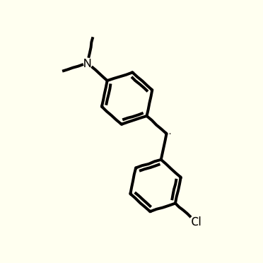 CN(C)c1ccc([CH]c2cccc(Cl)c2)cc1